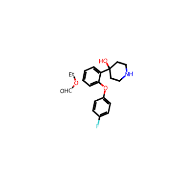 CCOC=O.OC1(c2ccccc2Oc2ccc(F)cc2)CCNCC1